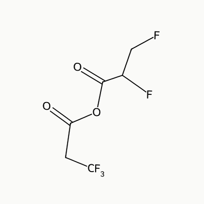 O=C(CC(F)(F)F)OC(=O)C(F)CF